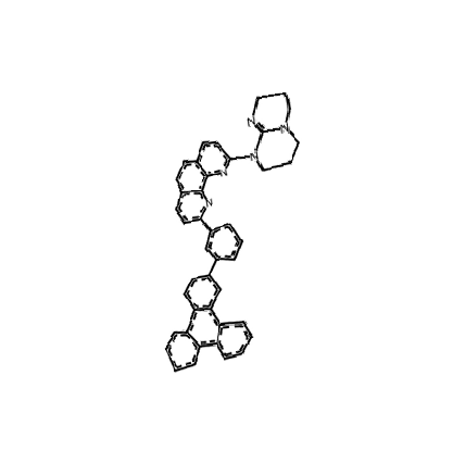 c1cc(-c2ccc3c4ccccc4c4ccccc4c3c2)cc(-c2ccc3ccc4ccc(N5CCCN6CCCN=C65)nc4c3n2)c1